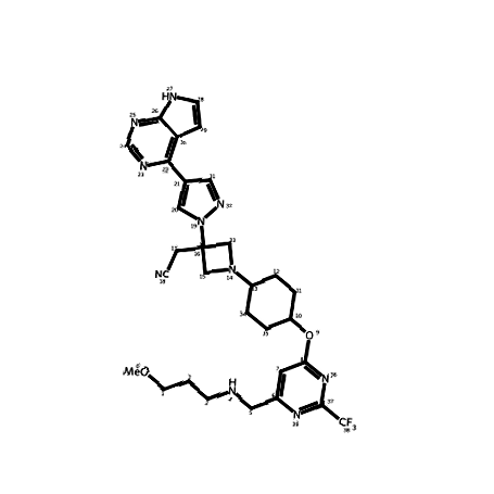 COCCCNCc1cc(OC2CCC(N3CC(CC#N)(n4cc(-c5ncnc6[nH]ccc56)cn4)C3)CC2)nc(C(F)(F)F)n1